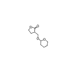 O=C1OCCC1COC1CCCCO1